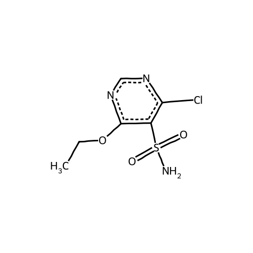 CCOc1ncnc(Cl)c1S(N)(=O)=O